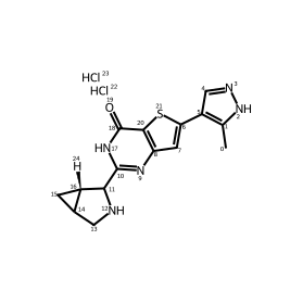 Cc1[nH]ncc1-c1cc2nc(C3NCC4C[C@@H]43)[nH]c(=O)c2s1.Cl.Cl